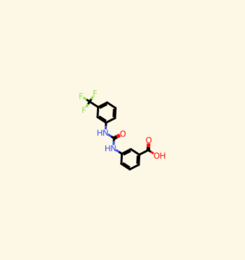 O=C(Nc1cccc(C(=O)O)c1)Nc1cccc(C(F)(F)F)c1